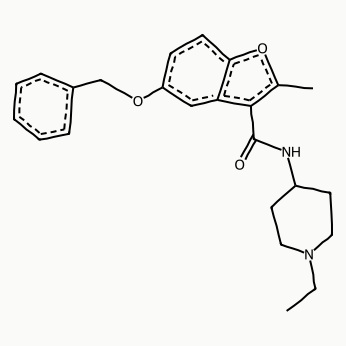 CCN1CCC(NC(=O)c2c(C)oc3ccc(OCc4ccccc4)cc23)CC1